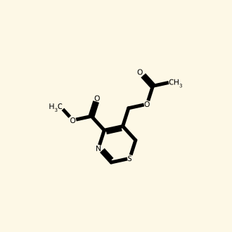 COC(=O)C1=C(COC(C)=O)CSC=N1